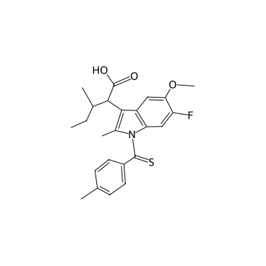 CCC(C)C(C(=O)O)c1c(C)n(C(=S)c2ccc(C)cc2)c2cc(F)c(OC)cc12